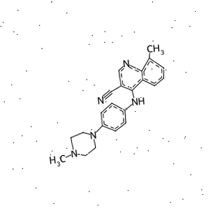 Cc1cccc2c(Nc3ccc(N4CCN(C)CC4)cc3)c(C#N)cnc12